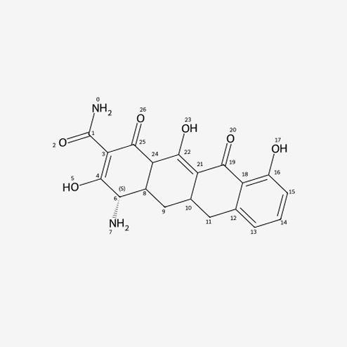 NC(=O)C1=C(O)[C@@H](N)C2CC3Cc4cccc(O)c4C(=O)C3=C(O)C2C1=O